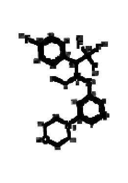 CCN(Sc1cncc(N2CCOCC2)c1)C(c1ccc(F)cc1)C(F)(F)F